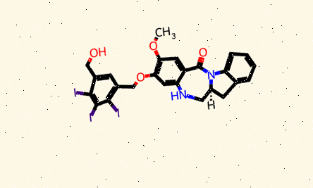 COc1cc2c(cc1OCc1cc(CO)c(I)c(I)c1I)NC[C@@H]1Cc3ccccc3N1C2=O